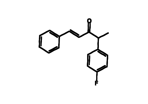 CC(C(=O)/C=C/c1ccccc1)c1ccc(F)cc1